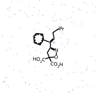 CC(C)C/C=C(/C1=NOC(C(=O)O)(C(=O)O)C1)c1ccccc1